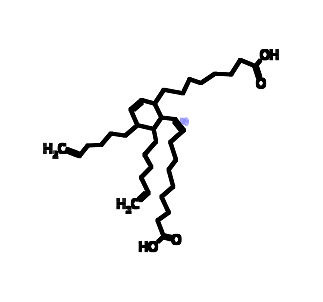 C=CCCCCC1C=CC(CCCCCCCC(=O)O)C(/C=C\CCCCCCCC(=O)O)C1CCCCC=C